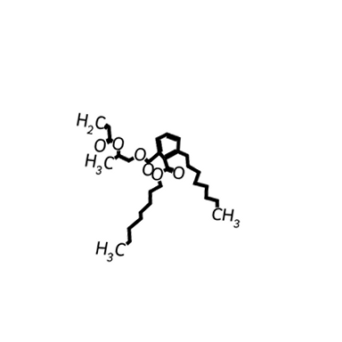 C=CC(=O)OC(C)COC(=O)c1cccc(CCCCCCCC)c1C(=O)OCCCCCCCC